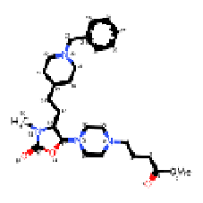 COC(=O)CCCN1CCN(C2OC(=O)N(C)C2CCC2CCN(Cc3ccccc3)CC2)CC1